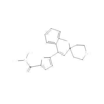 CC(C)N(C(=O)c1ccc(C2=CC3(CCNCC3)Oc3ccccc32)o1)C(C)C